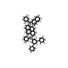 c1ccc(-c2cc(-c3ccccc3)cc(N(c3ccccc3)c3ccc4ccc5c(N(c6ccccc6)c6cc7ccccc7cn6)ccc6ccc3c4c65)c2)cc1